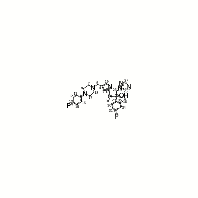 C[C@@H](n1cc(CN2CCN(c3ccc(F)cc3)CC2)cn1)[C@](O)(Cn1cncn1)c1ccc(F)cc1F